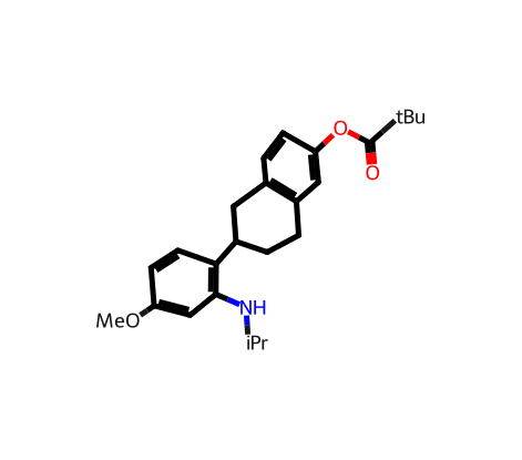 COc1ccc(C2CCc3cc(OC(=O)C(C)(C)C)ccc3C2)c(NC(C)C)c1